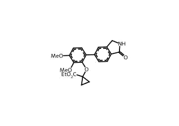 CCOC(=O)C1(Oc2c(-c3ccc4c(c3)CNC4=O)ccc(OC)c2OC)CC1